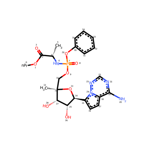 CCCOC(=O)[C@H](C)NP(=O)(OC[C@@]1(C)O[C@@H](c2ccc3c(N)ncnn23)[C@H](O)[C@@H]1O)Oc1ccccc1